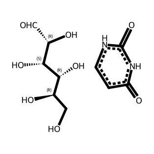 O=C[C@H](O)[C@@H](O)[C@H](O)[C@H](O)CO.O=c1cc[nH]c(=O)[nH]1